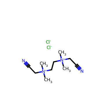 C[N+](C)(CC#N)CC[N+](C)(C)CC#N.[Cl-].[Cl-]